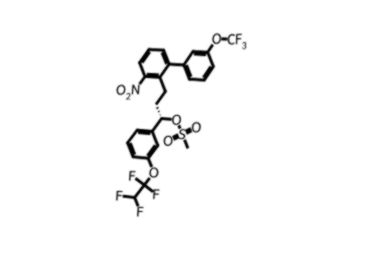 CS(=O)(=O)O[C@@H](CCc1c(-c2cccc(OC(F)(F)F)c2)cccc1[N+](=O)[O-])c1cccc(OC(F)(F)C(F)F)c1